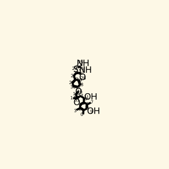 Cc1c(C)c2c(c(C)c1O)C(O)CC(C)(COc1ccc(CC3SC(=N)NC3=O)cc1)O2